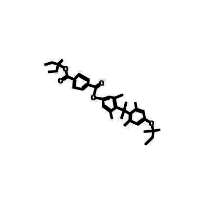 CCC(C)(C)Oc1cc(C)c(C(C)(C)c2c(C)cc(OC(=O)c3ccc(C(=O)OC(C)(CC)CC)cc3)cc2C)c(C)c1